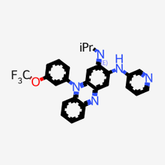 CC(C)/N=c1\cc2n(-c3cccc(OC(F)(F)F)c3)c3ccccc3nc-2cc1Nc1cccnc1